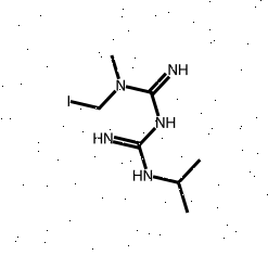 CC(C)NC(=N)NC(=N)N(C)CI